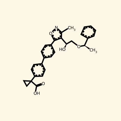 Cc1noc(-c2ccc(-c3ccc(C4(C(=O)O)CC4)cc3)cc2)c1[C@H](O)CO[C@H](C)c1ccccc1